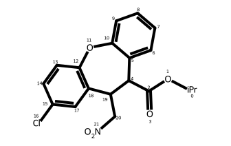 CC(C)OC(=O)C1c2ccccc2Oc2ccc(Cl)cc2C1C[N+](=O)[O-]